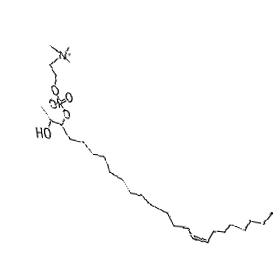 CCCCCCCC/C=C\CCCCCCCCCCCCC(OP(=O)([O-])OCC[N+](C)(C)C)C(C)O